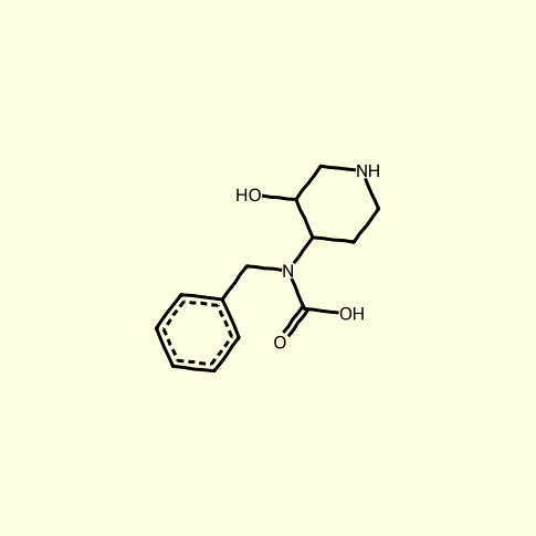 O=C(O)N(Cc1ccccc1)C1CCNCC1O